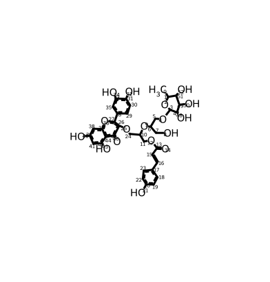 CC1OC(OCC(CO)OC(COC(=O)/C=C/c2ccc(O)cc2)COc2c(-c3ccc(O)c(O)c3)oc3cc(O)cc(O)c3c2=O)C(O)C(O)C1O